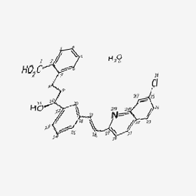 O.O=C(O)c1ccccc1CC[C@H](O)c1cccc(C=Cc2ccc3ccc(Cl)cc3n2)c1